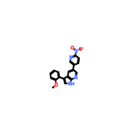 COc1ccccc1-c1c[nH]c2ncc(-c3ccc([N+](=O)[O-])nc3)cc12